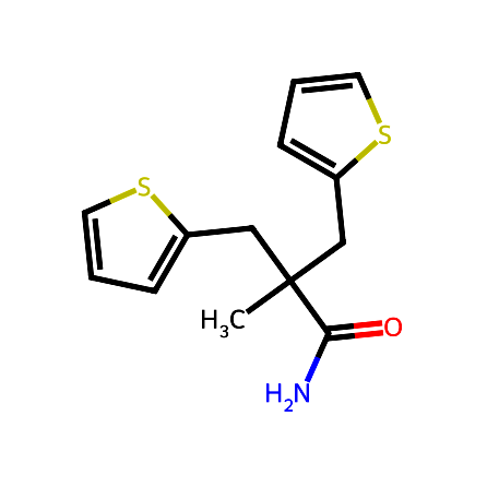 CC(Cc1cccs1)(Cc1cccs1)C(N)=O